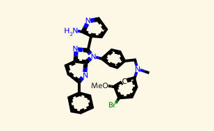 COc1cc(N(C)Cc2ccc(-n3c(-c4cccnc4N)nc4ccc(-c5ccccc5)nc43)cc2)ccc1Br